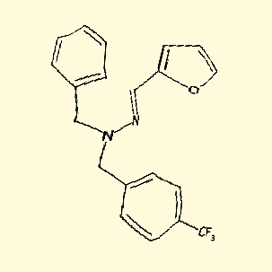 FC(F)(F)c1ccc(CN(Cc2ccccc2)N=Cc2ccco2)cc1